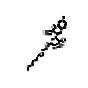 CCCCCCOCCOC(=O)CC(C(=O)O)C(=Cc1ccc(C)cc1)C(=O)O